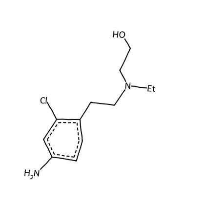 CCN(CCO)CCc1ccc(N)cc1Cl